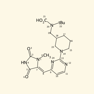 CN1C(=O)NC(=O)C1=Cc1ccnc(N2CCCC(CN(C(=O)O)C(C)(C)C)C2)n1